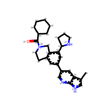 Cc1c[nH]c2ncc(-c3cc4c(c(C5CCCN5)c3)CN(C(=O)C3CCCCC3)CC4)cc12